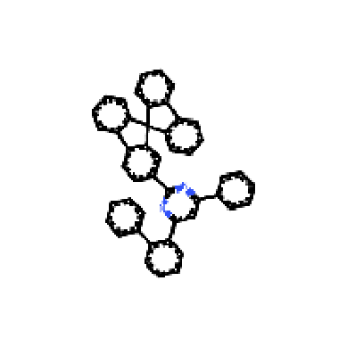 c1ccc(-c2cc(-c3ccccc3-c3ccccc3)nc(-c3ccc4c(c3)C3(c5ccccc5-c5ccccc53)c3ccccc3-4)n2)cc1